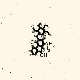 CCc1c(CC)c(CC)c2c(c1CC)Cc1c(Cl)c(-c3ccccc3C(=O)O)c(N)c(N)c1O2